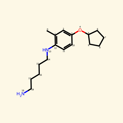 Cc1cc(OC2CCCC2)ccc1NCCCCCN